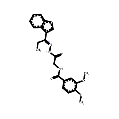 CC/C(=N\NC(=O)CNC(=O)c1ccc(OC)c(OC)c1)c1csc2ccccc12